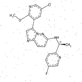 COc1ncc(Cl)cc1-c1cnc2ccc(N[C@@H](C)c3ccc(F)cn3)nn12